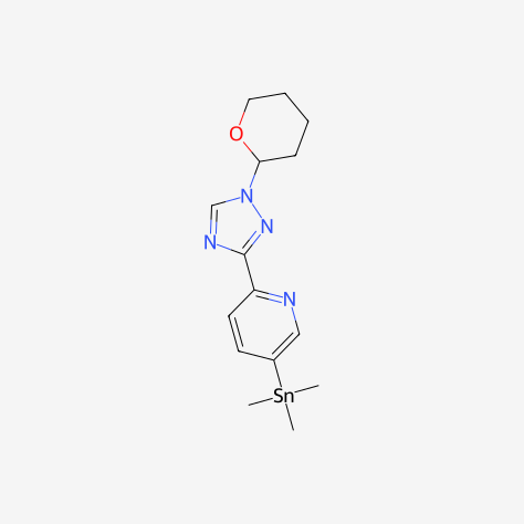 [CH3][Sn]([CH3])([CH3])[c]1ccc(-c2ncn(C3CCCCO3)n2)nc1